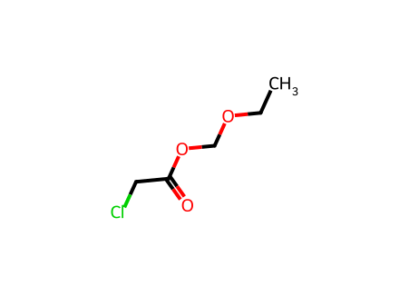 CCOCOC(=O)CCl